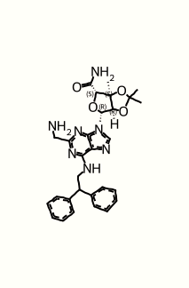 CC1(C)O[C@H]2[C@H](n3cnc4c(NCC(c5ccccc5)c5ccccc5)nc(CN)nc43)O[C@H](C(N)=O)[C@@]2(C)O1